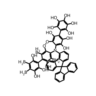 Bc1c(B)c(O)c(-c2c(O)c(B)c3c(ooc4c(O)c(-c5c(O)c(O)c(O)c(O)c5O)c(O)c(O)c4n3-c3cccc4c3-c3ccccc3C43c4ccccc4-c4ccccc43)c2B)c(O)c1O